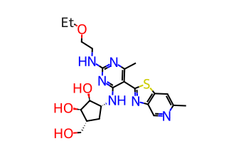 CCOCCNc1nc(C)c(-c2nc3cnc(C)cc3s2)c(N[C@@H]2C[C@H](CO)[C@@H](O)[C@H]2O)n1